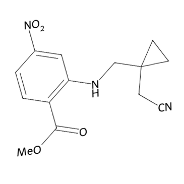 COC(=O)c1ccc([N+](=O)[O-])cc1NCC1(CC#N)CC1